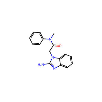 CN(C(=O)Cn1c(N)nc2ccccc21)c1ccccc1